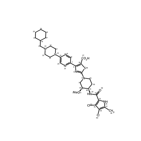 CO[C@H]1CN(c2nc(-c3cnc(N4CCN(CC5CCCCC5)CC4)cn3)c(C(=O)O)s2)CC[C@H]1NC(=O)c1[nH]c(C)c(Cl)c1Cl